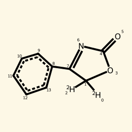 [2H]C1([2H])OC(=O)N=C1c1ccccc1